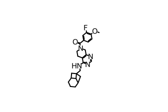 COc1ccc(C(=O)N2CCc3c(ncnc3NCC34CC5CCCC(C3)C54)C2)cc1F